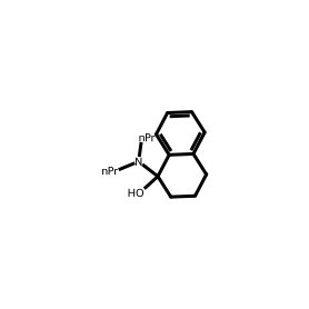 CCCN(CCC)C1(O)CCCc2ccccc21